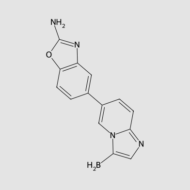 Bc1cnc2ccc(-c3ccc4oc(N)nc4c3)cn12